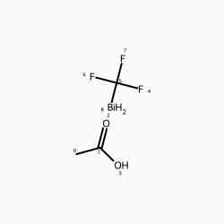 CC(=O)O.F[C](F)(F)[BiH2]